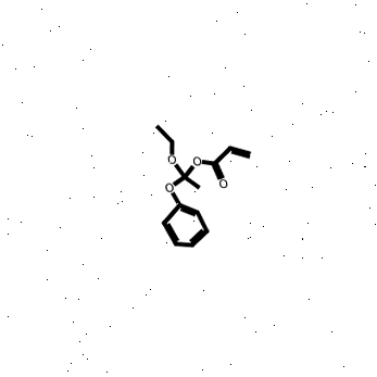 C=CC(=O)OC(C)(OCC)Oc1ccccc1